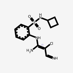 N=C/C(Cl)=C(\N)Nc1ccccc1S(=O)(=O)NC1CCC1